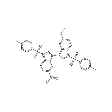 COc1ccc2c(c1)c(-c1cn(S(=O)(=O)c3ccc(C)cc3)c3ccc([N+](=O)[O-])cc13)cn2S(=O)(=O)c1ccc(C)cc1